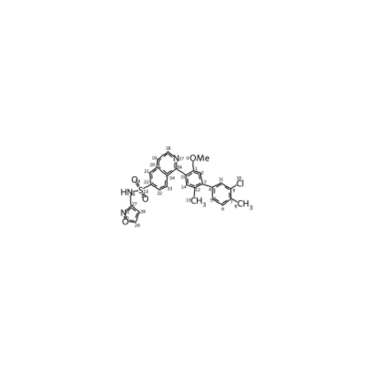 COc1cc(-c2ccc(C)c(Cl)c2)c(C)cc1-c1nccc2cc(S(=O)(=O)Nc3ccon3)ccc12